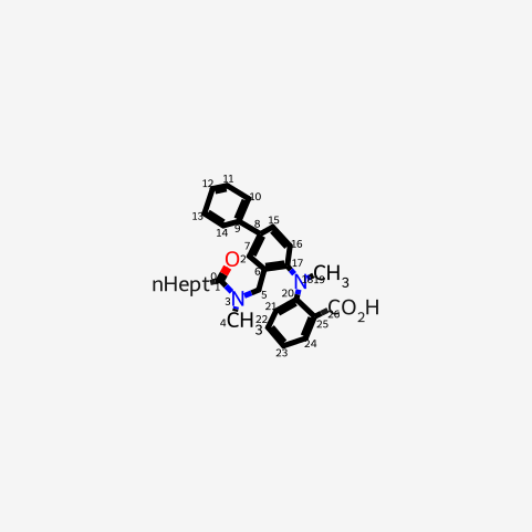 CCCCCCCC(=O)N(C)Cc1cc(-c2ccccc2)ccc1N(C)c1ccccc1C(=O)O